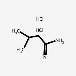 CC(C)CC(=N)N.Cl.Cl